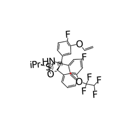 C=COc1cc([C@@](Cc2ccccc2)(N[S@@+]([O-])C(C)C)c2cc(F)cc(OC(F)(F)C(F)F)c2)ccc1F